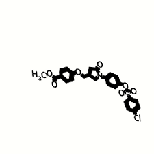 COC(=O)c1ccc(OCC2CC(=O)N(c3ccc(OS(=O)(=O)c4ccc(Cl)cc4)cc3)C2)cc1